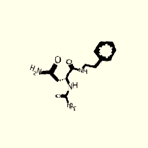 CCCC(=O)N[C@H](CC(N)=O)C(=O)NCCc1ccccc1